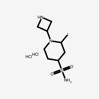 Cl.Cl.NS(=O)(=O)C1CCN(C2CNC2)C(I)C1